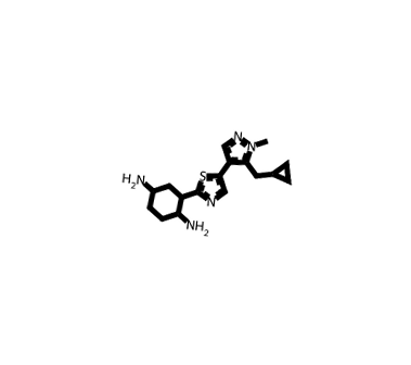 Cn1ncc(-c2cnc(C3CC(N)CCC3N)s2)c1CC1CC1